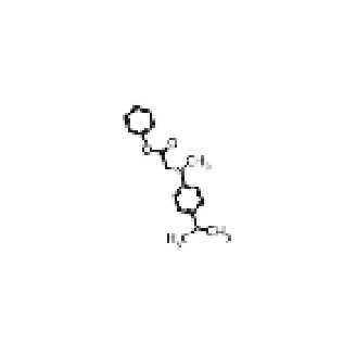 CC(C)c1ccc(N(C)CC(=O)Oc2ccccc2)cc1